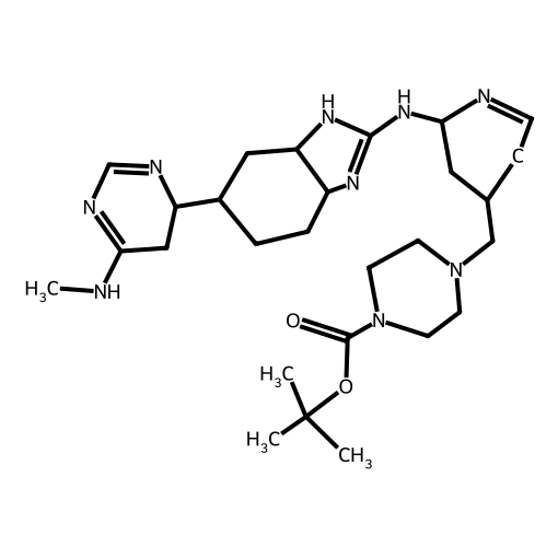 CNC1=NC=NC(C2CCC3N=C(NC4CC(CN5CCN(C(=O)OC(C)(C)C)CC5)CC=N4)NC3C2)C1